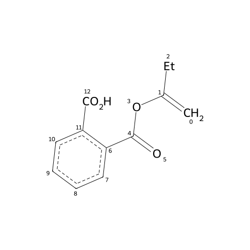 C=C(CC)OC(=O)c1ccccc1C(=O)O